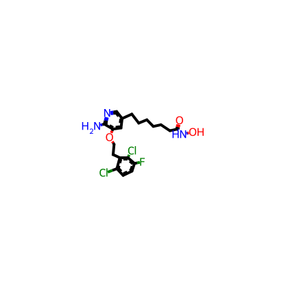 Nc1ncc(CCCCCCC(=O)NO)cc1OCCc1c(Cl)ccc(F)c1Cl